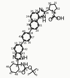 CC(C)(C)OC(=O)NC1(c2nc3ccc(-c4ccc(-c5ccc6c(ccc7nc(C8CCCN8C(=O)O)[nH]c76)c5)cc4)cc3[nH]2)CCCCC1